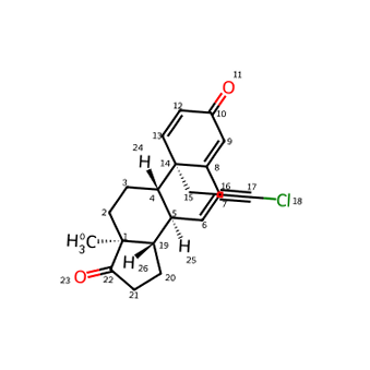 C[C@]12CC[C@H]3[C@@H](C=CC4=CC(=O)C=C[C@@]43CC#CCl)[C@@H]1CCC2=O